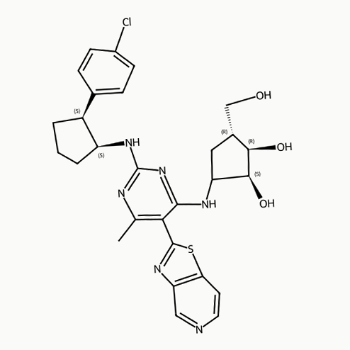 Cc1nc(N[C@H]2CCC[C@H]2c2ccc(Cl)cc2)nc(NC2C[C@H](CO)[C@@H](O)[C@H]2O)c1-c1nc2cnccc2s1